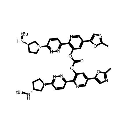 Cc1ncc(-c2cnc(-c3ccc(N4CC[C@@H](NC(C)(C)C)C4)nn3)c(OC(=O)Oc3cc(-c4cnc(C)o4)cnc3-c3ccc(N4CC[C@@H](NC(C)(C)C)C4)nn3)c2)o1